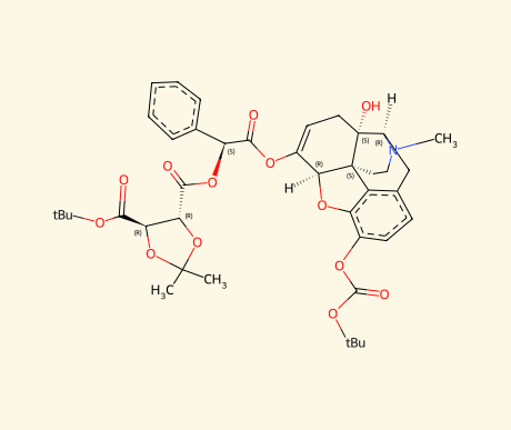 CN1CC[C@]23c4c5ccc(OC(=O)OC(C)(C)C)c4O[C@H]2C(OC(=O)[C@@H](OC(=O)[C@@H]2OC(C)(C)O[C@H]2C(=O)OC(C)(C)C)c2ccccc2)=CC[C@@]3(O)[C@H]1C5